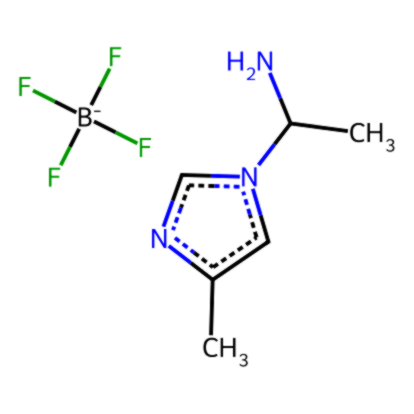 Cc1cn(C(C)N)cn1.F[B-](F)(F)F